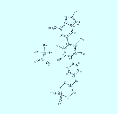 Cc1nc2c(C(=O)O)cc(-c3c(F)c(F)c(-c4ccc(CN5CCS(=O)(=O)CC5)cc4)c(F)c3F)cc2[nH]1.O=C(O)C(F)(F)F